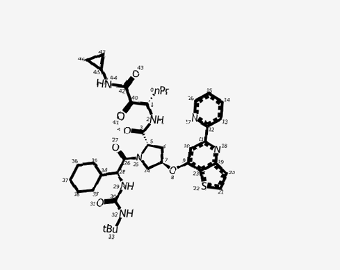 CCC[C@H](NC(=O)[C@@H]1C[C@@H](Oc2cc(-c3ccccn3)nc3ccsc23)CN1C(=O)[C@@H](NC(=O)NC(C)(C)C)C1CCCCC1)C(=O)C(=O)NC1CC1